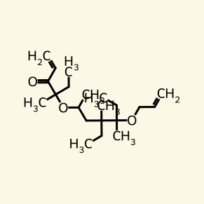 C=CCOC(C)(CC)C(C)(CC)CC(C)OC(C)(CC)C(=O)C=C